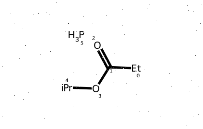 CCC(=O)OC(C)C.P